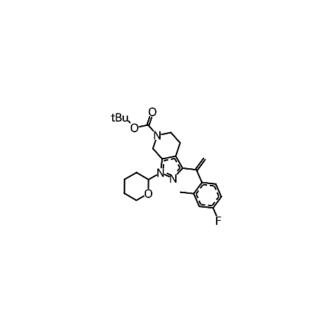 C=C(c1ccc(F)cc1C)c1nn(C2CCCCO2)c2c1CCN(C(=O)OC(C)(C)C)C2